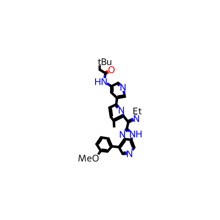 CC/N=C(/c1nc2c(-c3cccc(OC)c3)cncc2[nH]1)c1nc(-c2cncc(NC(=O)CC(C)(C)C)c2)ccc1C